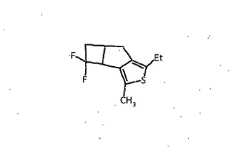 CCc1sc(C)c2c1CC1CC(F)(F)C21